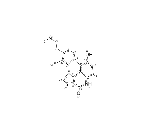 CN(C)CCc1ccc(-c2c(O)ccc3[nH]c(=O)c4sccc4c23)cc1F